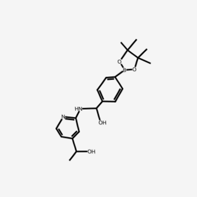 CC(O)c1ccnc(NC(O)c2ccc(B3OC(C)(C)C(C)(C)O3)cc2)c1